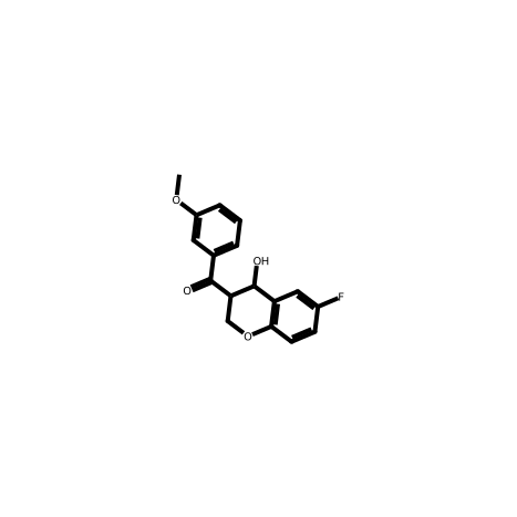 COc1cccc(C(=O)C2COc3ccc(F)cc3C2O)c1